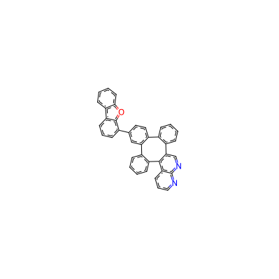 c1ccc2c(c1)-c1ccc(-c3cccc4c3oc3ccccc34)cc1-c1ccccc1-c1c-2cnc2ncccc12